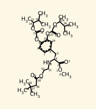 COC(=O)[C@H](Cc1ccc(OC(=O)OC(C)C(C)C)c(OC(=O)OC(C)C(C)C)c1)NCCOC(=O)CC(C)(C)C